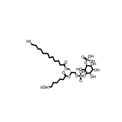 CCCCCCCCCCCCCCCC(=O)O[C@H](COC(=O)CCCCCCCCCCCS)COP(=O)(O)OC1C(O)[C@@H](OP(=O)(O)O)C(O)[C@@H](O)[C@H]1O